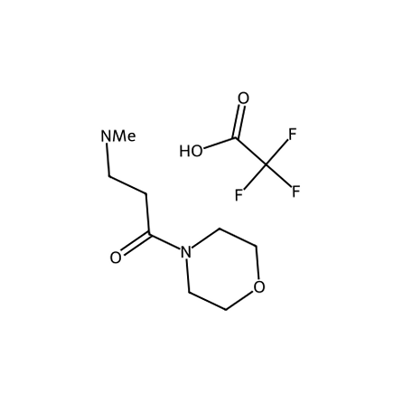 CNCCC(=O)N1CCOCC1.O=C(O)C(F)(F)F